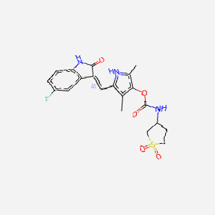 Cc1[nH]c(/C=C2\C(=O)Nc3ccc(F)cc32)c(C)c1OC(=O)NC1CCS(=O)(=O)C1